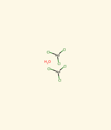 O.[Cl][Nd]([Cl])[Cl].[Cl][Nd]([Cl])[Cl]